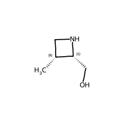 C[C@@H]1CN[C@@H]1CO